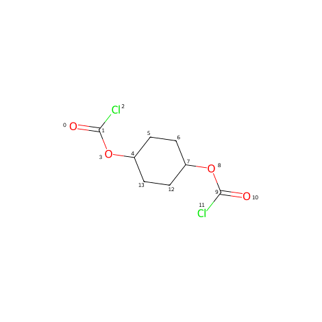 O=C(Cl)OC1CCC(OC(=O)Cl)CC1